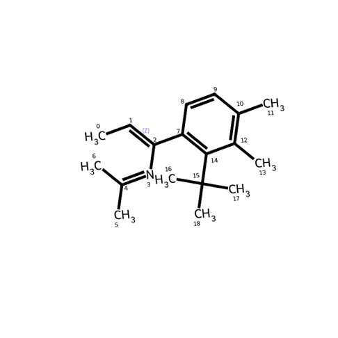 C/C=C(\N=C(C)C)c1ccc(C)c(C)c1C(C)(C)C